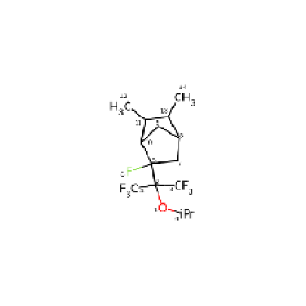 CC(C)OC(C(F)(F)F)(C(F)(F)F)C1(F)CC2CC1C(C)C2C